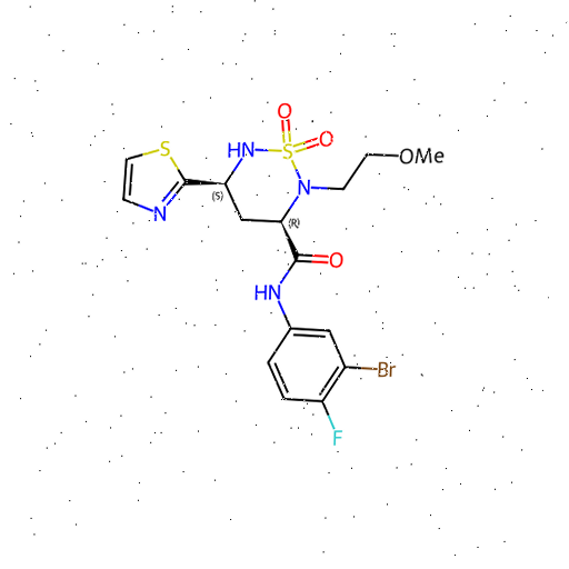 COCCN1[C@@H](C(=O)Nc2ccc(F)c(Br)c2)C[C@@H](c2nccs2)NS1(=O)=O